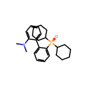 CN(C)c1ccccc1-c1ccccc1P(=O)(C1CCCCC1)C1CCCCC1